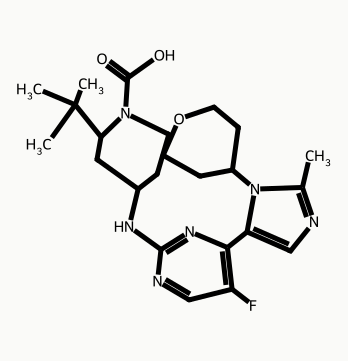 Cc1ncc(-c2nc(NC3CCN(C(=O)O)C(C(C)(C)C)C3)ncc2F)n1C1CCOCC1